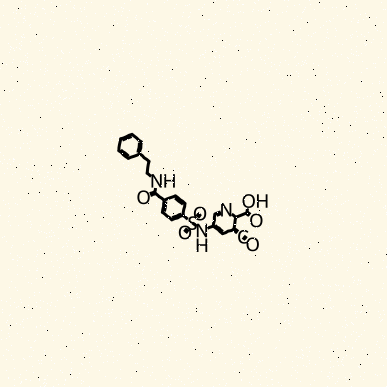 O=C=C1C=C(NS(=O)(=O)c2ccc(C(=O)NCCc3ccccc3)cc2)C=NC1C(=O)O